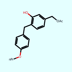 CCCOc1ccc(Cc2ccc(COC(C)=O)cc2O)cc1